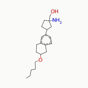 CCCCCOC1CCc2cc(C3CCC(N)(CO)C3)ccc2C1